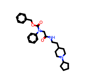 O=C(CN(C(=O)OCc1ccccc1)c1ccccc1)NCCC1CCN(C2CCCC2)CC1